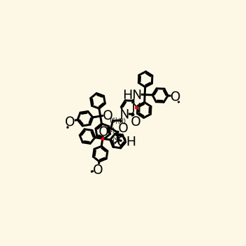 COc1ccc(C(Nc2ccn([C@@H]3OC([C@H](C)O)[C@@H](OC(c4ccccc4)(c4ccccc4)c4ccc(OC)cc4)[C@@H]3OC(c3ccccc3)(c3ccccc3)c3ccc(OC)cc3)c(=O)n2)(c2ccccc2)c2ccccc2)cc1